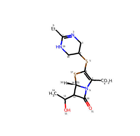 CCC1=NCC(SC2=C(C(=O)O)N3C(=O)C(C(C)O)[C@@H]3S2)CN1